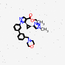 CCOC(=O)c1cnn(-c2cccc(-c3cccc(CN4CCOCC4)c3)c2)c1[C@@H]1C[C@H]1c1cn(C)nn1